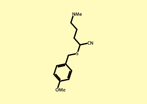 CNCCCC(C#N)SCc1ccc(OC)cc1